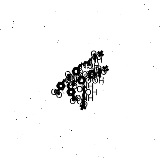 CN(C(=O)OC(C)(C)C)[C@@H]1[C@@H](O)[C@@H](O[C@@H]2[C@@H](O)[C@H](C3OC(CNCC(O)CNC(=O)OC(C)(C)C)=CC[C@H]3NC(=O)OCc3ccc([N+](=O)[O-])cc3)[C@@H](NC(=O)OCc3ccc([N+](=O)[O-])cc3)C[C@H]2NC(=O)[C@@H](O)CNC(=O)OC(C)(C)C)OC[C@]1(C)O